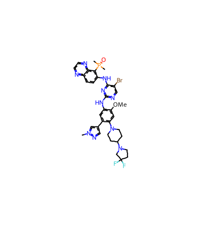 COc1cc(N2CCC(N3CCC(F)(F)C3)CC2)c(-c2cnn(C)c2)cc1Nc1ncc(Br)c(Nc2ccc3nccnc3c2P(C)(C)=O)n1